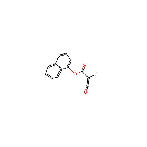 CC(=C=O)C(=O)Oc1cccc2ccccc12